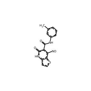 Cc1cccc(NC(=O)c2c(N=O)c3sccc3[nH]c2=O)c1